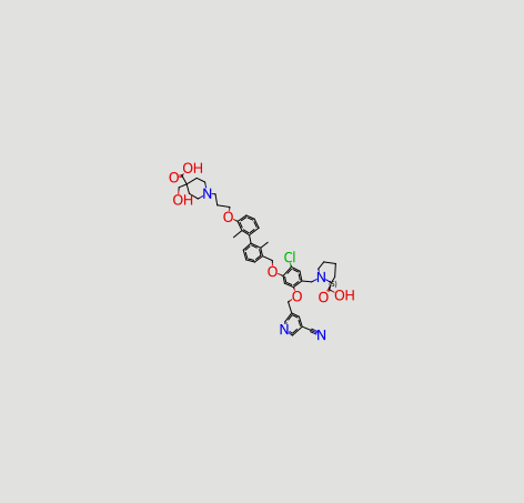 Cc1c(COc2cc(OCc3cncc(C#N)c3)c(CN3CCCC[C@H]3C(=O)O)cc2Cl)cccc1-c1cccc(OCCCN2CCC(CO)(C(=O)O)CC2)c1C